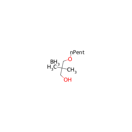 B.CCCCCOCC(C)(C)CO